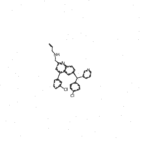 C=CCNCc1cc(-c2cccc(Cl)c2)c2cc(C(c3ccc(Cl)cc3)c3cccnc3)ccc2n1